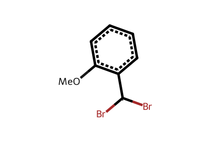 COc1ccccc1[C](Br)Br